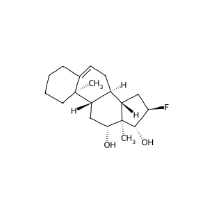 C[C@]12[C@H](O)C[C@H]3[C@@H](CC=C4CCCC[C@@]43C)[C@@H]1C[C@@H](F)[C@@H]2O